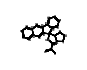 C=C(C)C(=O)OC1(C2CCCC2)c2ccccc2-c2cc3ccccc3cc21